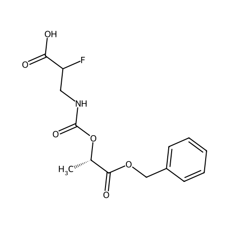 C[C@H](OC(=O)NCC(F)C(=O)O)C(=O)OCc1ccccc1